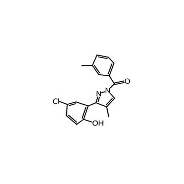 Cc1cccc(C(=O)n2cc(C)c(-c3cc(Cl)ccc3O)n2)c1